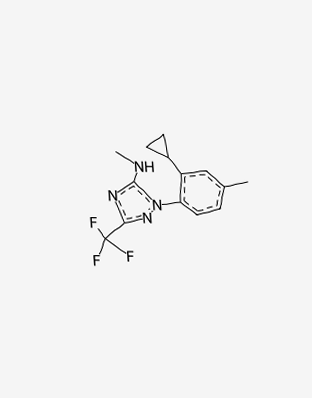 CNc1nc(C(F)(F)F)nn1-c1ccc(C)cc1C1CC1